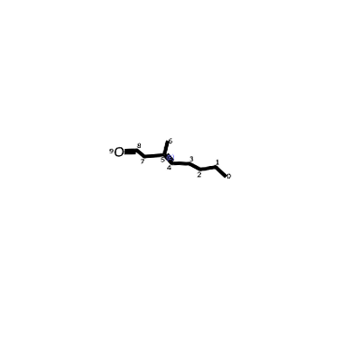 CCCC/C=C(\C)CC=O